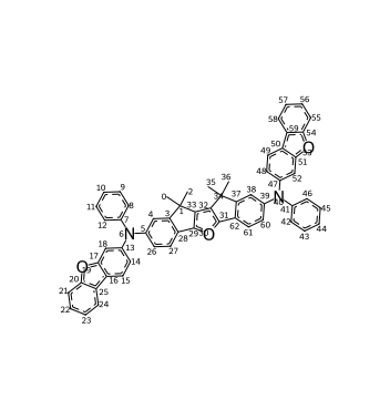 CC1(C)c2cc(N(c3ccccc3)c3ccc4c(c3)oc3ccccc34)ccc2-c2oc3c(c21)C(C)(C)c1cc(N(c2ccccc2)c2ccc4c(c2)oc2ccccc24)ccc1-3